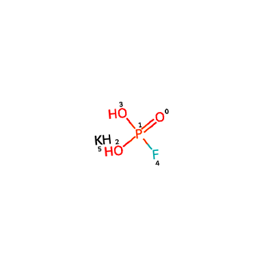 O=P(O)(O)F.[KH]